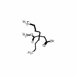 CCCCC(CCCC)(CC(=O)O)C(=O)ON